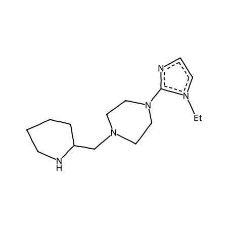 CCn1ccnc1N1CCN(CC2CCCCN2)CC1